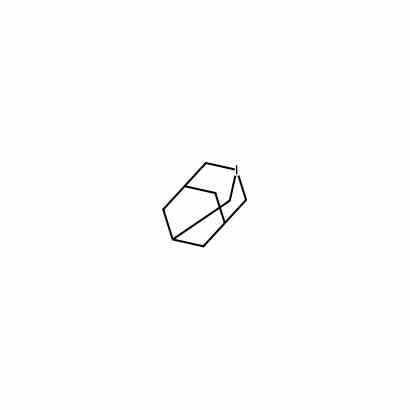 C1C2CC3CC1CI(C2)C3